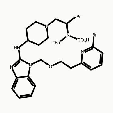 CC(C)C(CN1CCC(Nc2nc3ccccc3n2COCCc2cccc(Br)n2)CC1)N(C(=O)O)C(C)(C)C